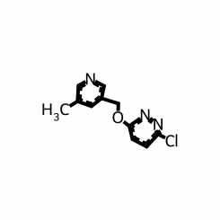 Cc1cncc(COc2ccc(Cl)nn2)c1